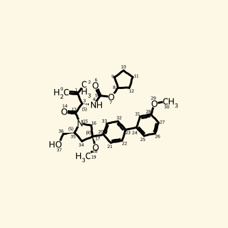 C=C(C)[C@H](NC(=O)OC1CCCC1)C(=O)N1C[C@](OC)(c2ccc(-c3cccc(OC)c3)cc2)C[C@H]1CO